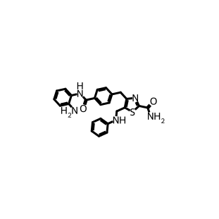 NC(=O)c1nc(Cc2ccc(C(=O)Nc3ccccc3N)cc2)c(CNc2ccccc2)s1